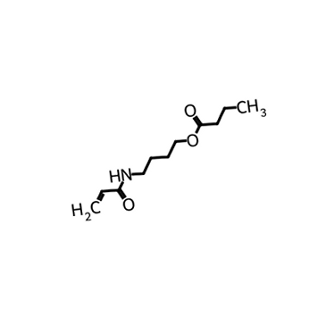 C=CC(=O)NCCCCOC(=O)CCC